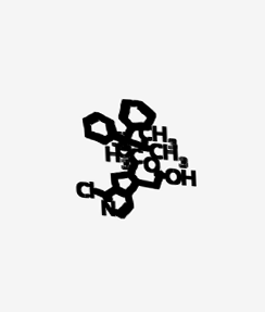 CC(C)(C)[Si](OCC1Cc2c(ccnc2Cl)C1CC(=O)O)(c1ccccc1)c1ccccc1